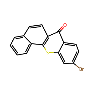 O=c1c2ccc(Br)cc2sc2c1ccc1ccccc12